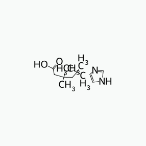 CC(C)(C)CC(C)(C)CC(=O)O.c1c[nH]cn1